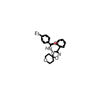 CCc1ccc(C(=O)NN2C(c3ccccc3)=NOC23CCOCC3)cc1